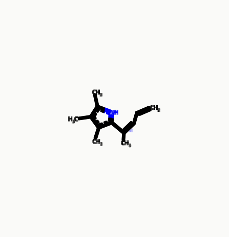 C=C/C=C(/C)c1[nH]c(C)c(C)c1C